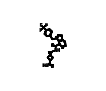 O=C(NC1CC12CC(C(=O)O)C2)c1nccc2ccn(Cc3ccc(C(F)(F)F)cc3)c12